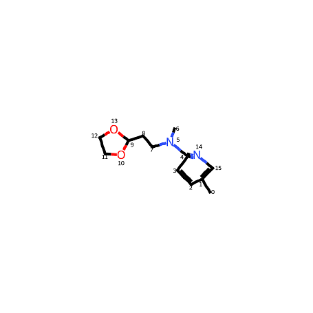 Cc1ccc(N(C)CCC2OCCO2)nc1